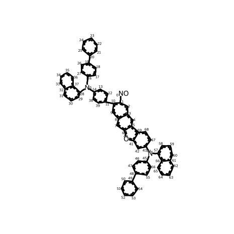 O=Nc1cc2cc3c(cc2cc1-c1ccc(N(c2ccc(-c4ccccc4)cc2)c2cccc4ccccc24)cc1)oc1cc(N(c2ccc(-c4ccccc4)cc2)c2cccc4ccccc24)ccc13